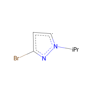 CC(C)n1[c]cc(Br)n1